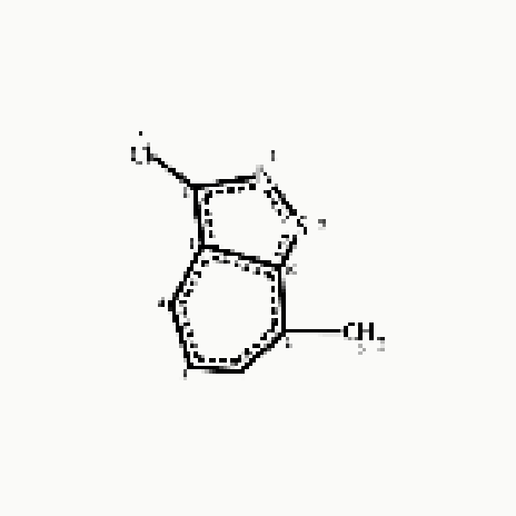 Cc1cccc2c(Cl)nsc12